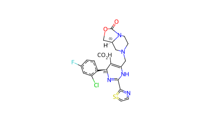 O=C(O)C1=C(CN2CCN3C(=O)OC[C@@H]3C2)NC(c2nccs2)=N[C@H]1c1ccc(F)cc1Cl